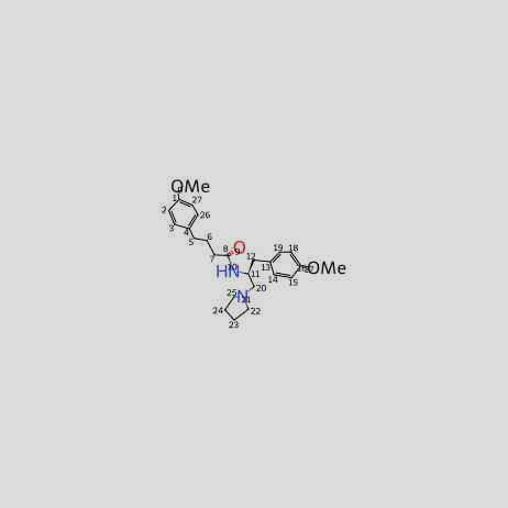 COc1ccc(CCCC(=O)N[C@@H](Cc2ccc(OC)cc2)CN2CCCC2)cc1